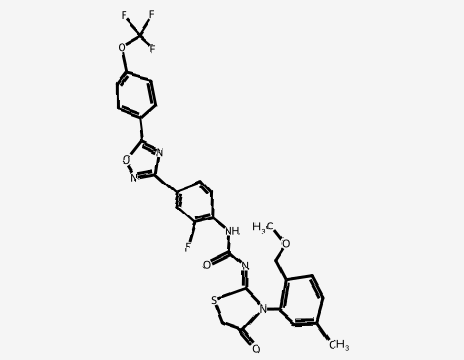 COCc1ccc(C)cc1N1C(=O)CSC1=NC(=O)Nc1ccc(-c2noc(-c3ccc(OC(F)(F)F)cc3)n2)cc1F